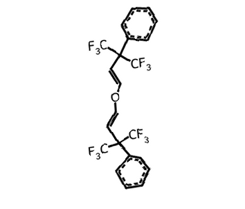 FC(F)(F)C(C=COC=CC(c1ccccc1)(C(F)(F)F)C(F)(F)F)(c1ccccc1)C(F)(F)F